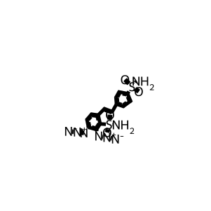 [N-]=[N+]=Nc1ccc(C=Cc2ccc(S(N)(=O)=O)cc2)c(S(N)(=O)=O)c1N=[N+]=[N-]